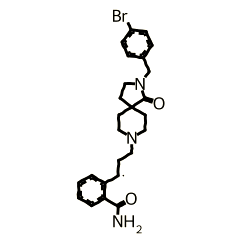 NC(=O)c1ccccc1[CH]CCN1CCC2(CC1)CCN(Cc1ccc(Br)cc1)C2=O